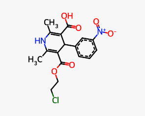 CC1=C(C(=O)O)C(c2cccc([N+](=O)[O-])c2)C(C(=O)OCCCl)=C(C)N1